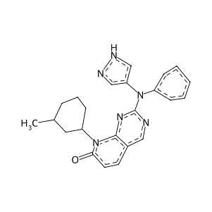 CC1CCCC(n2c(=O)ccc3cnc(N(c4ccccc4)c4cn[nH]c4)nc32)C1